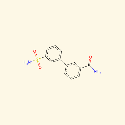 NC(=O)c1cccc(-c2cccc(S(N)(=O)=O)c2)c1